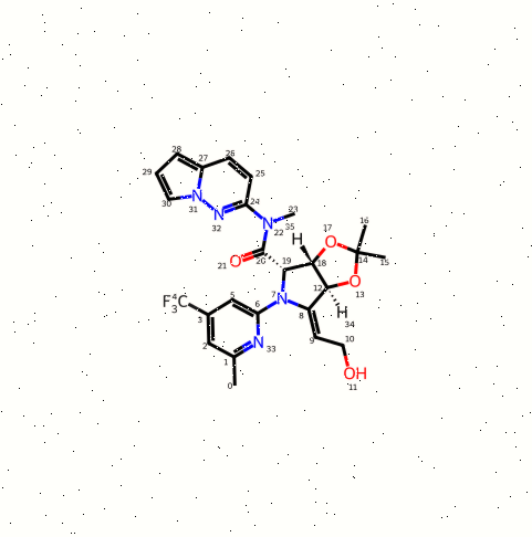 Cc1cc(C(F)(F)F)cc(N2C(=CCO)[C@@H]3OC(C)(C)O[C@H]3[C@H]2C(=O)N(C)c2ccc3cccn3n2)n1